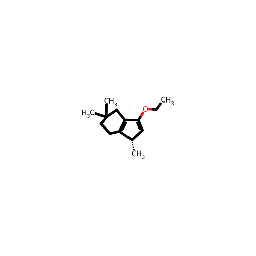 CCOC1=C[C@H](C)C2=C1CC(C)(C)CC2